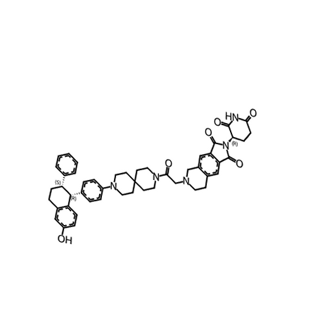 O=C1CC[C@@H](N2C(=O)c3cc4c(cc3C2=O)CN(CC(=O)N2CCC3(CC2)CCN(c2ccc([C@@H]5c6ccc(O)cc6CC[C@@H]5c5ccccc5)cc2)CC3)CC4)C(=O)N1